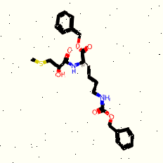 CSCC(O)C(=O)N[C@@H](CCCCNC(=O)OCc1ccccc1)C(=O)OCc1ccccc1